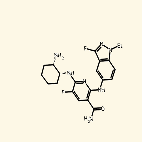 CCn1nc(F)c2cc(Nc3nc(N[C@@H]4CCCC[C@@H]4N)c(F)cc3C(N)=O)ccc21